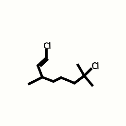 CC(C=CCl)CCCC(C)(C)Cl